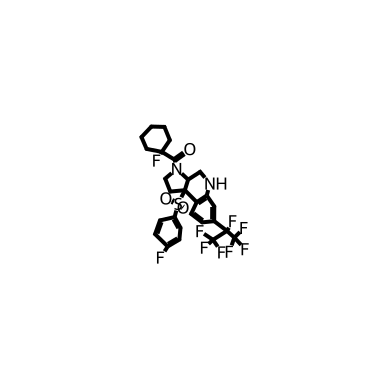 O=C(N1CCC2(S(=O)(=O)c3ccc(F)cc3)c3ccc(C(F)(C(F)(F)F)C(F)(F)F)cc3NCC12)C1(F)CCCCC1